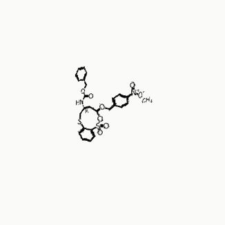 C.O=C(N[C@H]1CSc2ccccc2S(=O)(=O)OC(OCc2ccc([N+](=O)[O-])cc2)C1)OCc1ccccc1